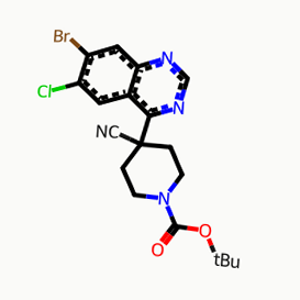 CC(C)(C)OC(=O)N1CCC(C#N)(c2ncnc3cc(Br)c(Cl)cc23)CC1